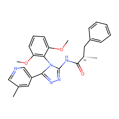 COc1cccc(OC)c1-n1c(NC(=O)[C@@H](C)Cc2ccccc2)nnc1-c1cncc(C)c1